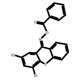 CCc1cc(CC)c2sc3ccccc3c(=NOC(=O)c3ccccc3)c2c1